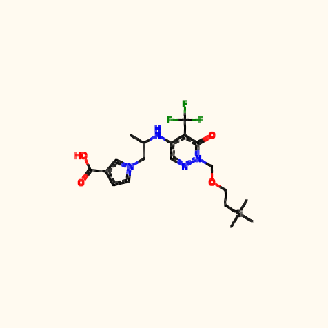 CC(Cn1ccc(C(=O)O)c1)Nc1cnn(COCC[Si](C)(C)C)c(=O)c1C(F)(F)F